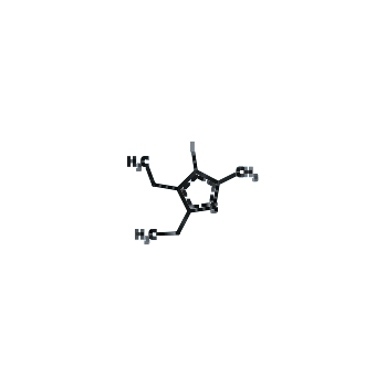 CCc1sc(C)c(I)c1CC